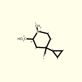 CN1CCC(F)(C2CC2)CC1C(=O)O